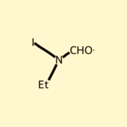 CCN(I)[C]=O